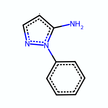 Nc1[c]cnn1-c1ccccc1